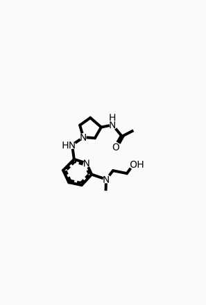 CC(=O)NC1CCN(Nc2cccc(N(C)CCO)n2)C1